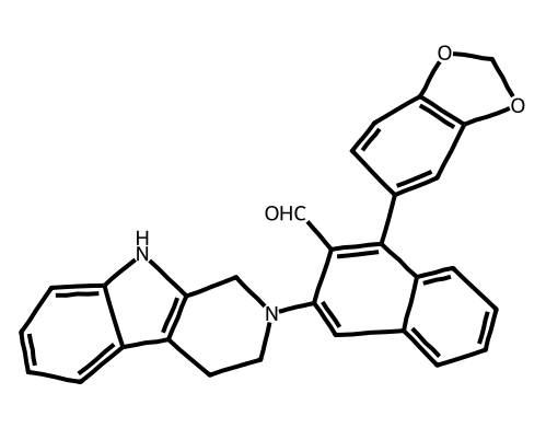 O=Cc1c(N2CCc3c([nH]c4ccccc34)C2)cc2ccccc2c1-c1ccc2c(c1)OCO2